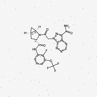 NC(=O)c1nn(CC(=O)N2[C@@H]3C[C@@H]3C[C@H]2C(=O)Nc2cccc(OC(F)(F)F)c2F)c2nnccc12